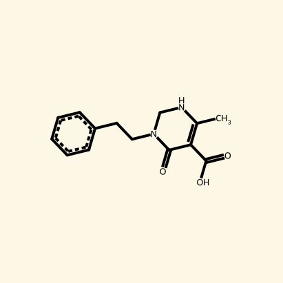 CC1=C(C(=O)O)C(=O)N(CCc2ccccc2)CN1